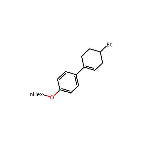 CCCCCCOc1ccc(C2=CCC(CC)CC2)cc1